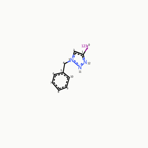 [123I]c1cn(Cc2ccccc2)nn1